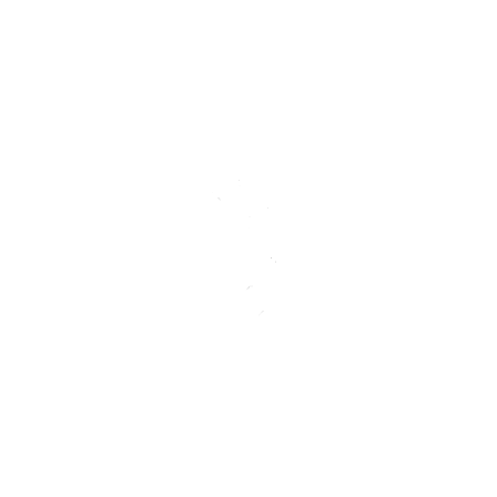 Cc1ccc(-c2c(C)c3c(c(C)c2CC(=O)O)CN(C(=O)c2cccc(F)c2)C3)c(Cl)c1